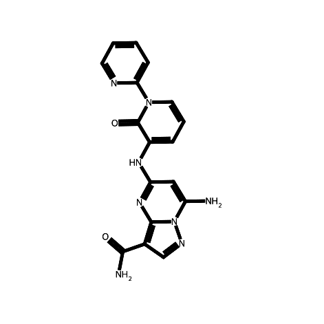 NC(=O)c1cnn2c(N)cc(Nc3cccn(-c4ccccn4)c3=O)nc12